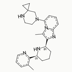 Cc1cccnc1[C@@H]1CCC[C@H](c2nc3cccc(N4CCNC5(CC5)C4)n3c2C)N1